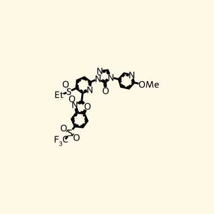 CCS(=O)(=O)c1ccc(-n2ncn(-c3ccc(OC)nc3)c2=O)nc1-c1nc2cc(S(=O)(=O)C(F)(F)F)ccc2o1